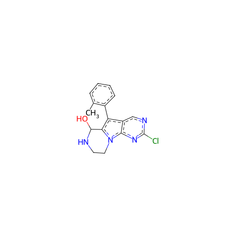 Cc1ccccc1-c1c2n(c3nc(Cl)ncc13)CCNC2O